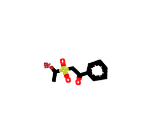 CC(Br)S(=O)(=O)CC(=O)c1ccccc1